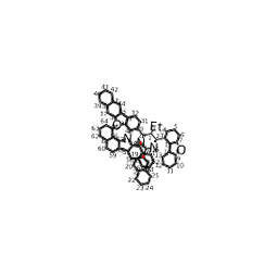 CCC1C(c2cccc3oc4ccccc4c23)=NC(c2ccc3ccccc3c2)=NC1c1ccc2c(oc3cc4ccccc4cc32)c1-n1c2cc3ccccc3cc2c2ccc3ccccc3c21